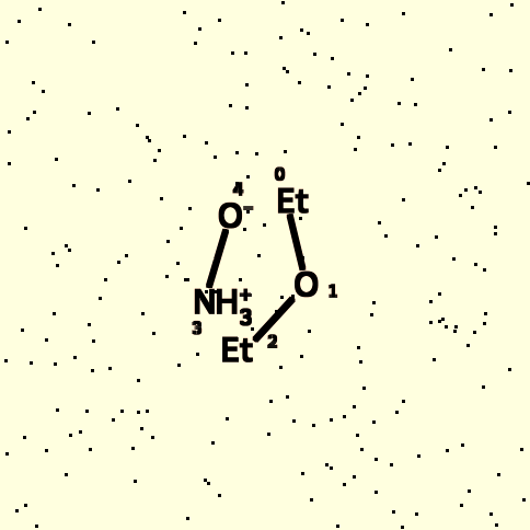 CCOCC.[NH3+][O-]